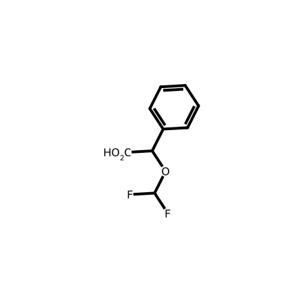 O=C(O)C(OC(F)F)c1ccccc1